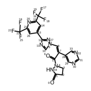 O=C1CCN(C(=O)C(=Cn2cnc(-c3cc(C(F)(F)F)nc(C(F)(F)F)c3)n2)c2cncnc2)N1